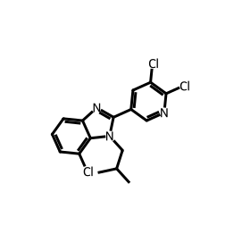 CC(C)Cn1c(-c2cnc(Cl)c(Cl)c2)nc2cccc(Cl)c21